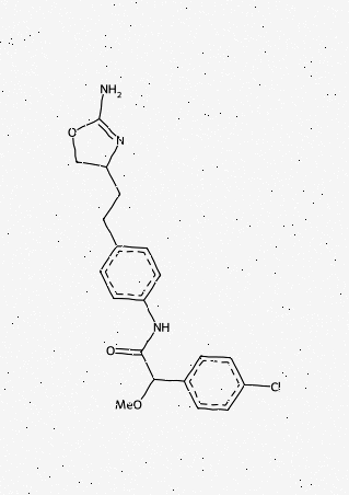 COC(C(=O)Nc1ccc(CCC2COC(N)=N2)cc1)c1ccc(Cl)cc1